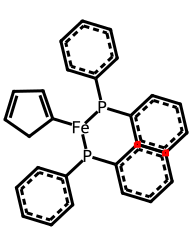 C1=CC[C]([Fe]([P](c2ccccc2)c2ccccc2)[P](c2ccccc2)c2ccccc2)=C1